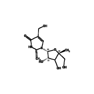 C=C1NC(=O)C(CO)=CN1[C@@H]1O[C@](C)(CO)C(O)[C@@H]1O